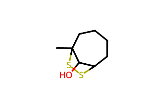 CC12CCCCC(SS1)C2O